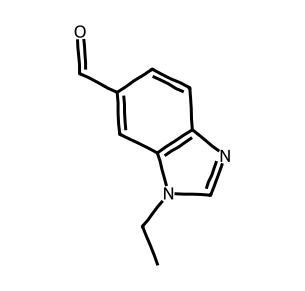 CCn1cnc2ccc(C=O)cc21